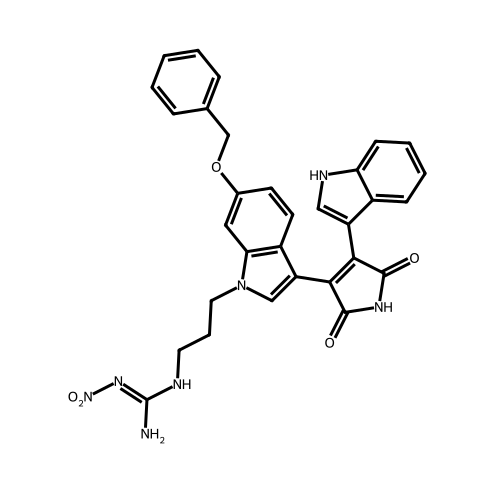 NC(=N[N+](=O)[O-])NCCCn1cc(C2=C(c3c[nH]c4ccccc34)C(=O)NC2=O)c2ccc(OCc3ccccc3)cc21